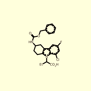 CCC(C(=O)O)n1c2c(c3cc(F)cc(Cl)c31)CC(NC(=O)OCc1ccccc1)CC2